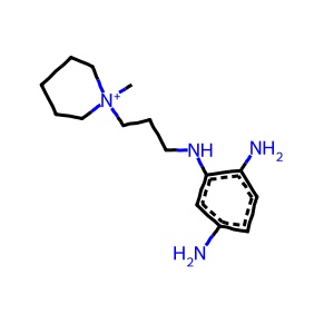 C[N+]1(CCCNc2cc(N)ccc2N)CCCCC1